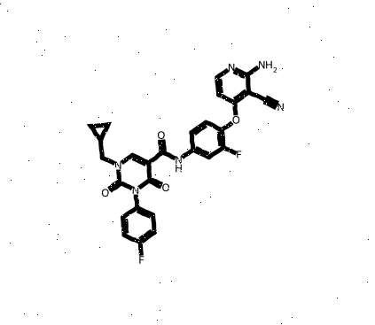 N#Cc1c(Oc2ccc(NC(=O)c3cn(CC4CC4)c(=O)n(-c4ccc(F)cc4)c3=O)cc2F)ccnc1N